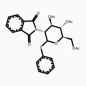 CC(=O)OC[C@H]1OC(Sc2ccccc2)[C@H](N2C(=O)c3ccccc3C2=O)[C@@H](OC(C)=O)[C@@H]1OC(C)=O